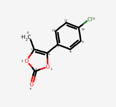 [CH2]c1oc(=O)oc1-c1ccc(Cl)cc1